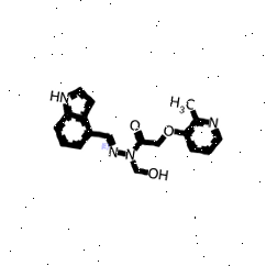 Cc1ncccc1OCC(=O)N(CO)/N=C/c1cccc2[nH]ccc12